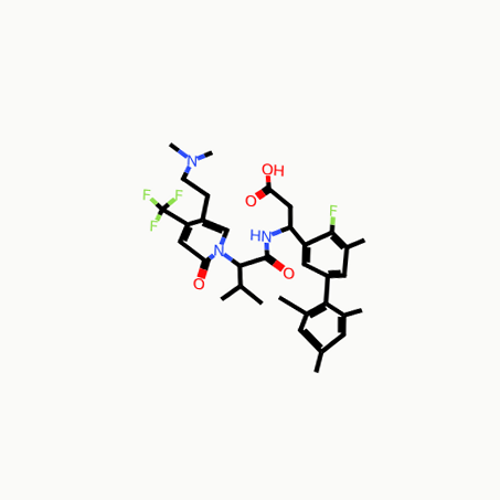 Cc1cc(C)c(-c2cc(C)c(F)c(C(CC(=O)O)NC(=O)C(C(C)C)n3cc(CCN(C)C)c(C(F)(F)F)cc3=O)c2)c(C)c1